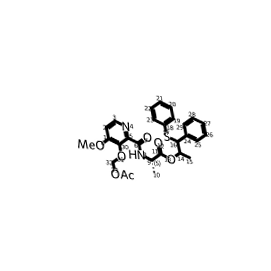 COc1ccnc(C(=O)N[C@@H](C)C(=O)OC(C)C(Sc2ccccc2)c2ccccc2)c1OCOC(C)=O